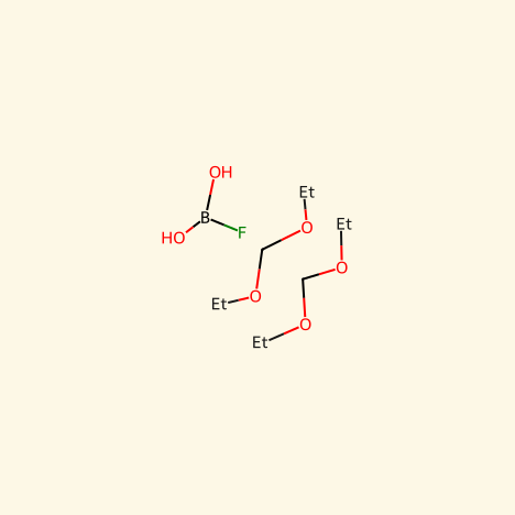 CCOCOCC.CCOCOCC.OB(O)F